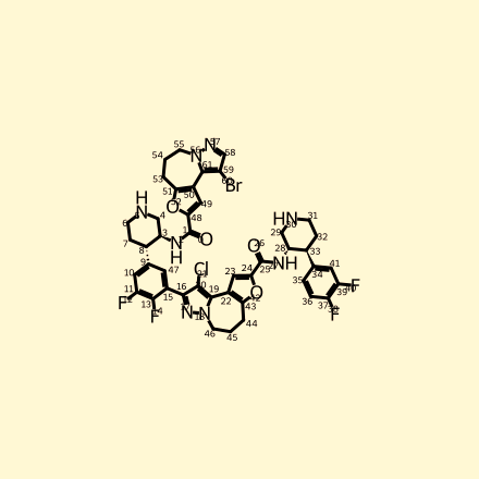 O=C(N[C@@H]1CNCC[C@H]1c1cc(F)c(F)c(-c2nn3c(c2Cl)-c2cc(C(=O)N[C@@H]4CNCC[C@H]4c4ccc(F)c(F)c4)oc2CCC3)c1)c1cc2c(o1)CCCn1ncc(Br)c1-2